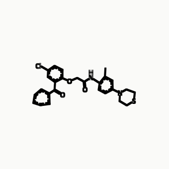 Cc1cc(N2CCSCC2)ccc1NC(=O)COc1ccc(Cl)cc1C(=O)c1ccccc1